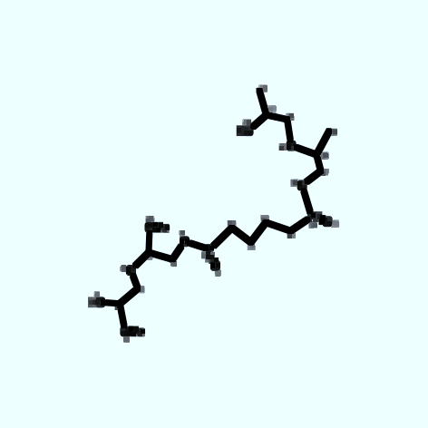 COC(O)COC(CO[PH](=O)CCCC[PH](=O)OCC(C)OCC(C)O)OC